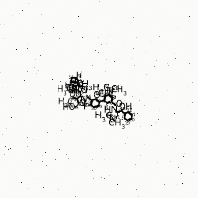 COc1c(-c2cc(C(=O)N[C@H](CN(C)C)[C@H](O)c3ccccc3)cc(N(C)C)c2)ccc(F)c1CN1O[C@@H](CO)C([C@H](C)O)[C@H]1C(=O)N[C@H]1C[C@H]2C[C@@H]([C@@H]1C)C2(C)C